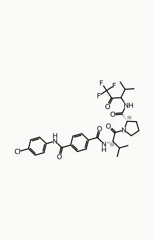 CC(C)C(NC(=O)[C@@H]1CCCN1C(=O)[C@@H](NC(=O)c1ccc(C(=O)Nc2ccc(Cl)cc2)cc1)C(C)C)C(=O)C(F)(F)F